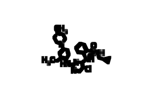 CCc1cc(N2CCN(C)CC2)ccc1Nc1ncc(Cl)c(Nc2ccccc2S(=O)(=O)NCC2CC2)n1